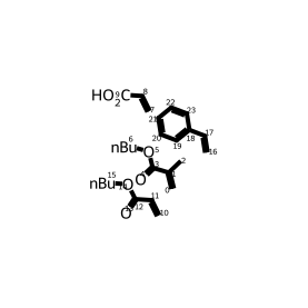 C=C(C)C(=O)OCCCC.C=CC(=O)O.C=CC(=O)OCCCC.C=Cc1ccccc1